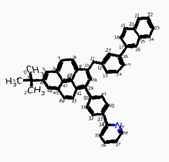 CC(C)(C)c1cc2ccc3c(Cc4cccc(-c5ccc6ccccc6c5)c4)cc(-c4ccc(-c5ccccn5)cc4)c4ccc(c1)c2c34